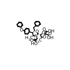 C[C@@H]1OC(C(=O)O)(C(=O)O)O[C@H]1C(=O)N(CC(=O)O)[C@H](C)[C@H](CCc1ccccc1)c1ccc(Oc2ccccc2)cc1